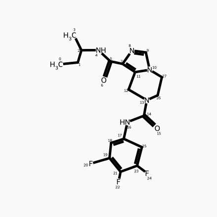 CCC(C)NC(=O)c1ncn2c1CN(C(=O)Nc1cc(F)c(F)c(F)c1)CC2